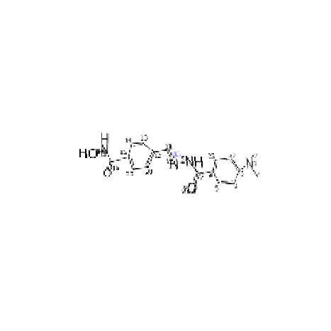 CN(C)c1ccc(C(=O)N/N=C/c2ccc(C(=O)NO)cc2)cc1